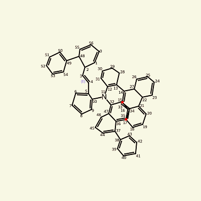 C1=CC(/C=C/c2ccccc2N(C2=C(C3=Cc4ccccc4C4C=CC=CC34)CCC=C2)c2cccc3c(-c4ccccc4)cccc23)C(c2ccccc2)C=C1